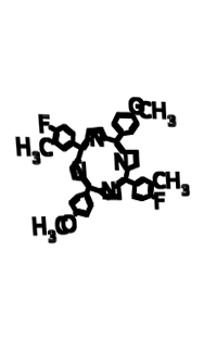 COc1ccc(C2=C3C=CC(=N3)C(c3ccc(F)c(C)c3)=C3C=CC(=N3)C(c3ccc(OC)cc3)=C3C=CC(=N3)C(c3ccc(F)c(C)c3)=C3C=CC2=N3)cc1